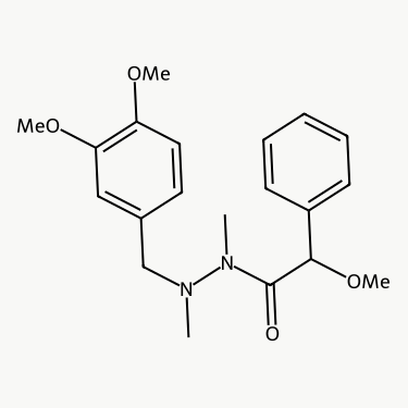 COc1ccc(CN(C)N(C)C(=O)C(OC)c2ccccc2)cc1OC